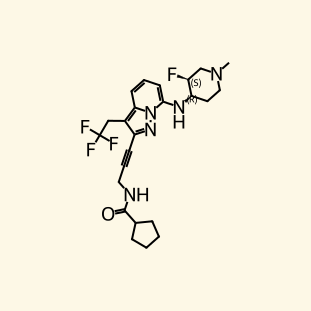 CN1CC[C@@H](Nc2cccc3c(CC(F)(F)F)c(C#CCNC(=O)C4CCCC4)nn23)[C@@H](F)C1